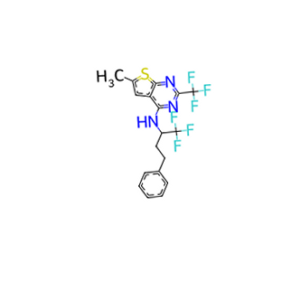 Cc1cc2c(NC(CCc3ccccc3)C(F)(F)F)nc(C(F)(F)F)nc2s1